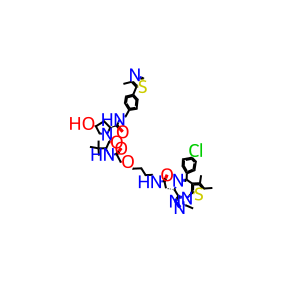 Cc1ncsc1-c1ccc(CNC(=O)[C@@H]2C[C@@H](O)CN2C(=O)[C@@H](NC(=O)COCCCCNC(=O)C[C@@H]2N=C(c3ccc(Cl)cc3)c3c(sc(C)c3C)-n3c(C)nnc32)C(C)(C)C)cc1